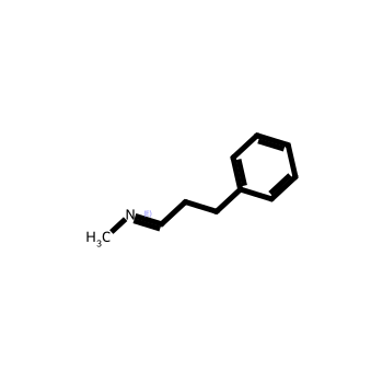 C/N=C/CCc1ccccc1